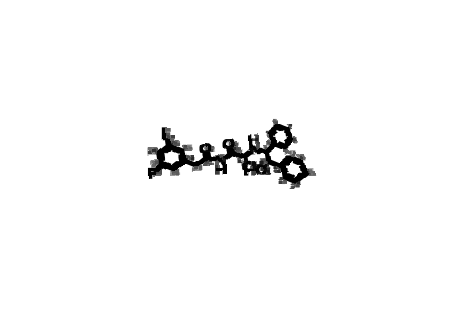 C[C@H](NC(c1ccccc1)[C@@H](O)c1ccccc1)C(=O)NC(=O)Cc1cc(F)cc(F)c1